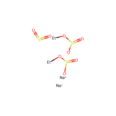 CCOS(=O)[O-].CCOS(=O)[O-].O=S=O.[Na+].[Na+]